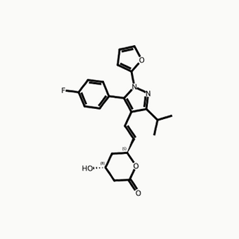 CC(C)c1nn(-c2ccco2)c(-c2ccc(F)cc2)c1C=C[C@@H]1C[C@@H](O)CC(=O)O1